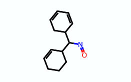 O=NC(C1C=CC=CC1)C1C=CCCC1